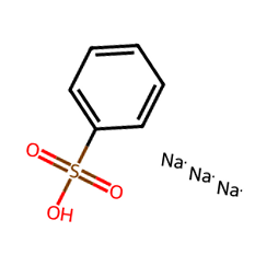 O=S(=O)(O)c1ccccc1.[Na].[Na].[Na]